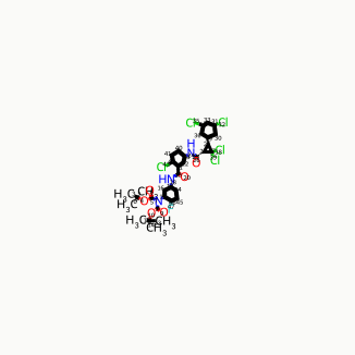 CC(C)(C)OC(=O)N(C(=O)OC(C)(C)C)c1cc(NC(=O)c2cc(NC(=O)[C@@H]3[C@@H](c4cc(Cl)cc(Cl)c4)C3(Cl)Cl)ccc2Cl)ccc1F